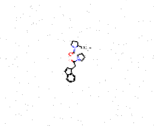 O=C(O)[C@@H]1CCCN1C(=O)[C@@H]1CCCN1C(=O)CC1C=Cc2ccccc21